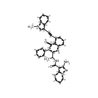 CC(NC(=O)c1c(N)nn2cccnc12)c1nc2cccc(C#Cc3cn(C)c4ccccc34)c2c(=O)n1-c1ccccc1